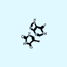 O=c1[nH]cc(I)c(=O)[nH]1.O=c1[nH]cnc2nc[nH]c12